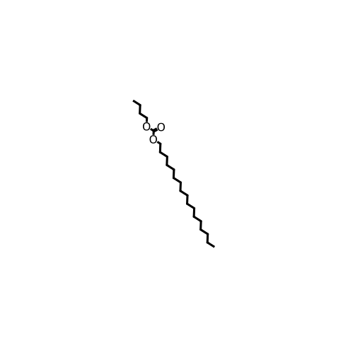 CCCCCCCCCCCCCCCCCOC(=O)OCCCC